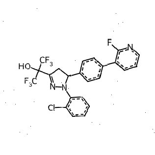 OC(C1=NN(c2ccccc2Cl)C(c2ccc(-c3cccnc3F)cc2)C1)(C(F)(F)F)C(F)(F)F